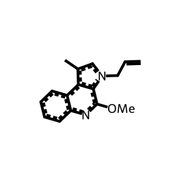 C=CCn1cc(C)c2c3ccccc3nc(OC)c21